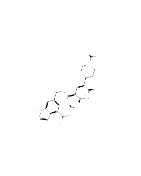 CC(=O)N1CCC(c2cc3c(NC(C)c4cc(C(F)F)c5cc[nH]c5c4)ncnc3n(C)c2=O)CC1